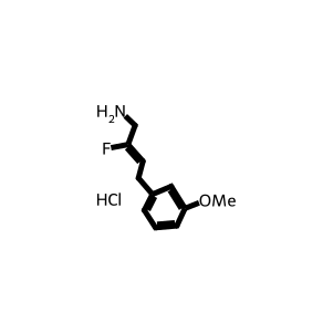 COc1cccc(C/C=C(\F)CN)c1.Cl